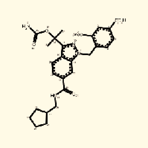 COc1cc(C(=O)O)ccc1Cn1nc(C(C)(C)OC(N)=O)c2ccc(C(=O)NCC3CCCC3)cc21